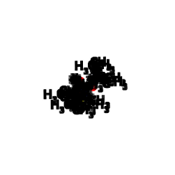 CC(C)(C)c1ccc(N2B3c4sc5cc6c(cc5c4N(c4ccc(C(C)(C)C)cc4)c4cc5c(oc7ccccc75)c(c43)-c3cc4c(cc32)oc2cc(N(c3ccc(C(C)(C)C)cc3)c3ccc(C(C)(C)C)cc3)ccc24)C(C)(C)CCC6(C)C)cc1